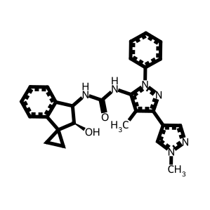 Cc1c(-c2cnn(C)c2)nn(-c2ccccc2)c1NC(=O)NC1c2ccccc2C2(CC2)[C@@H]1O